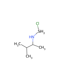 CC(C)C(C)N[SiH2]Cl